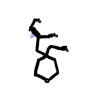 NCC1(C/C(N)=N/N)CCOCC1